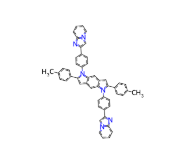 Cc1ccc(-c2cc3cc4c(cc(-c5ccc(C)cc5)n4-c4ccc(-c5cn6ccccc6n5)cc4)cc3n2-c2ccc(-c3cn4ccccc4n3)cc2)cc1